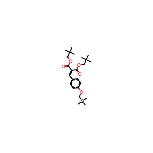 CC(C)(C)COC(=O)C(=Cc1ccc(OC[Si](C)(C)C)cc1)C(=O)OCC(C)(C)C